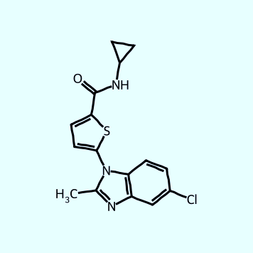 Cc1nc2cc(Cl)ccc2n1-c1ccc(C(=O)NC2CC2)s1